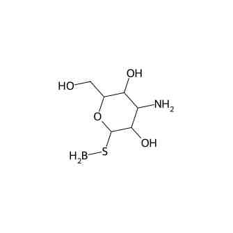 BSC1OC(CO)C(O)C(N)C1O